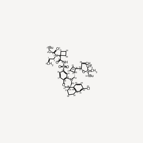 C=CCN(C(=O)OC(C)(C)C)C1(C(=O)NS(=O)(=O)c2ccc3c(c2)N(C[C@@H]2CC[C@H]2[C@H](C=C)O[Si](C)(C)C(C)(C)C)C[C@@]2(CCCc4cc(Cl)ccc42)CO3)CCC1